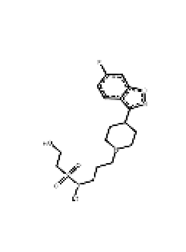 CCN(CCCN1CCC(c2noc3cc(F)ccc23)CC1)S(=O)(=O)CCO